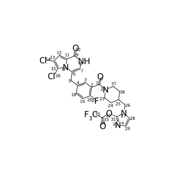 O=C(c1cc(Cc2c[nH]c(=O)c3cc(Cl)c(Cl)n23)ccc1F)N1CCC(CN2C=C[N+]=C2OC(=O)C(F)(F)F)CC1